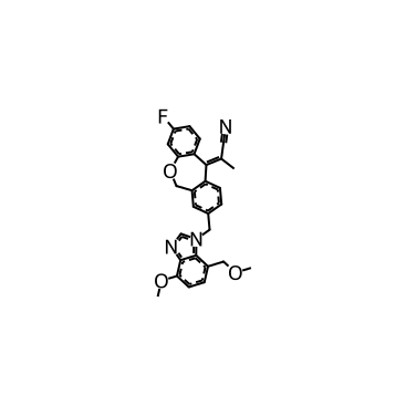 COCc1ccc(OC)c2ncn(Cc3ccc4c(c3)COc3cc(F)ccc3C4=C(C)C#N)c12